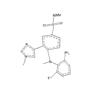 CNS(=O)(=O)c1ccc(N(C)c2c(F)cccc2P)c(-c2cn(C)cn2)c1